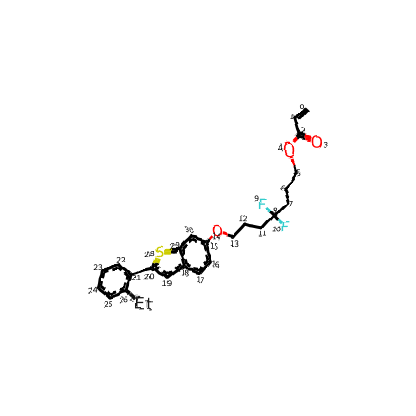 C=CC(=O)OCCCC(F)(F)CCCOc1ccc2cc(-c3ccccc3CC)sc2c1